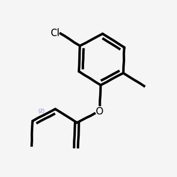 C=C(/C=C\C)Oc1cc(Cl)ccc1C